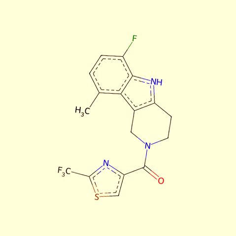 Cc1ccc(F)c2[nH]c3c(c12)CN(C(=O)c1csc(C(F)(F)F)n1)CC3